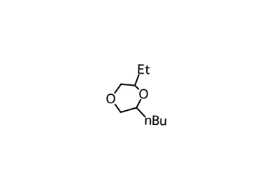 CCCCC1COCC(CC)O1